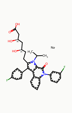 CC(C)n1c(CC[C@@H](O)C[C@@H](O)CC(=O)O)c(-c2ccc(F)cc2)c2c3ccccc3n(-c3cccc(F)c3)c(=O)c21.[Na]